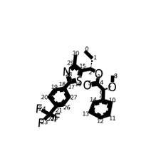 CC[C@H](OC(=O)[C@H](OC)c1ccccc1)c1sc(-c2ccc(C(F)(F)F)cc2)nc1C